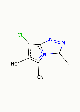 CC1N=Nc2c(Cl)c(C#N)c(C#N)n21